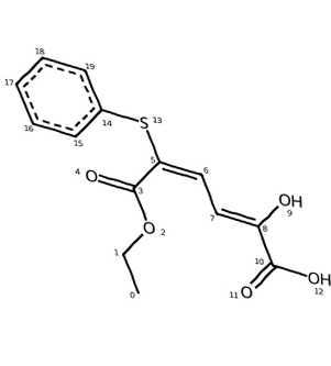 CCOC(=O)/C(=C\C=C(/O)C(=O)O)Sc1ccccc1